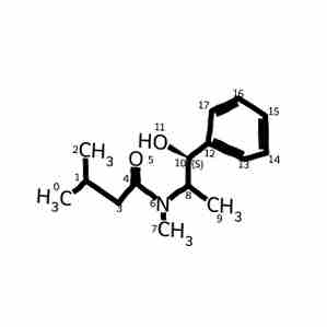 CC(C)CC(=O)N(C)C(C)[C@@H](O)c1ccccc1